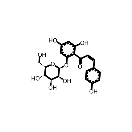 O=C(/C=C\c1ccc(O)cc1)c1c(O)cc(O)cc1O[C@@H]1O[C@@H](CO)[C@@H](O)[C@H](O)[C@@H]1O